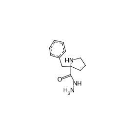 NNC(=O)C1(Cc2ccccc2)CCCN1